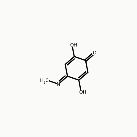 C/N=C1\C=C(O)C(=O)C=C1O